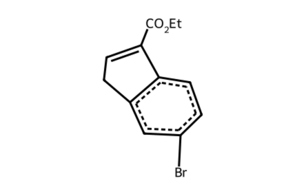 CCOC(=O)C1=CCc2cc(Br)ccc21